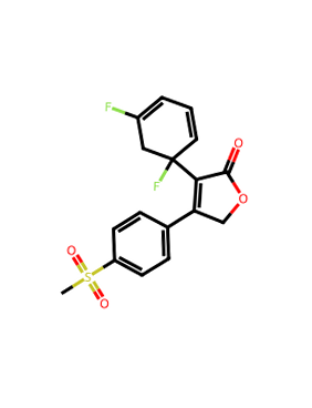 CS(=O)(=O)c1ccc(C2=C(C3(F)C=CC=C(F)C3)C(=O)OC2)cc1